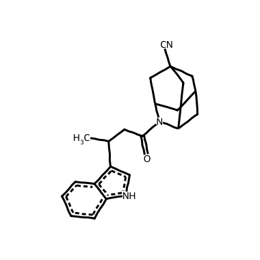 CC(CC(=O)N1C2CC3CC1CC(C#N)(C3)C2)c1c[nH]c2ccccc12